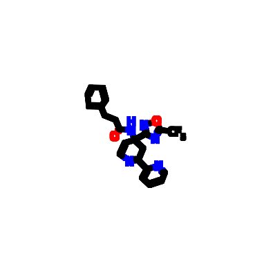 O=C(CCc1ccccc1)NC1(c2noc(C(F)(F)F)n2)C=CN=C(c2ccccn2)C1